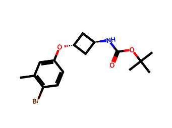 Cc1cc(O[C@H]2C[C@H](NC(=O)OC(C)(C)C)C2)ccc1Br